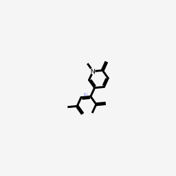 C=C(C)/C=C(\C(=C)C)C1=CN(C)C(=C)C=C1